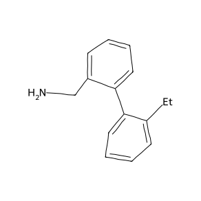 CCc1ccccc1-c1ccccc1CN